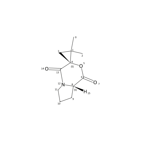 CC1(C)C[C@]12OC(=O)[C@@H]1CCCN1C2=O